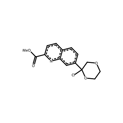 COC(=O)c1ccc2ccc(C3(Cl)COCCO3)cc2n1